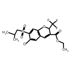 CCOC(=O)C1=Cc2cc(Cl)c(S(=O)(=O)CC(C)C)cc2OC1C(F)(F)F